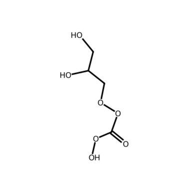 O=C(OO)OOCC(O)CO